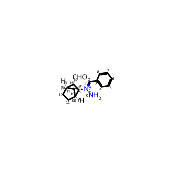 N/[N+](=C\c1ccccc1)[C@@H]1[C@H]2CC[C@H](C2)[C@@H]1C=O